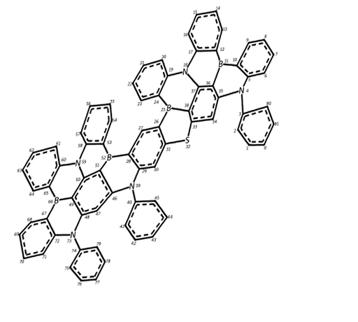 c1ccc(N2c3ccccc3B3c4ccccc4N4c5ccccc5B5c6cc7c(cc6Sc6cc2c3c4c65)N(c2ccccc2)c2cc3c4c5c2B7c2ccccc2N5c2ccccc2B4c2ccccc2N3c2ccccc2)cc1